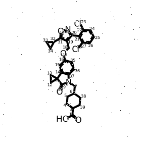 O=C(O)C1CCC(CN2C(=O)C3(CC3)c3cc(OCc4c(-c5c(Cl)cccc5Cl)noc4C4CC4)ccc32)CC1